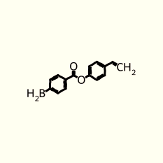 Bc1ccc(C(=O)Oc2ccc(C=C)cc2)cc1